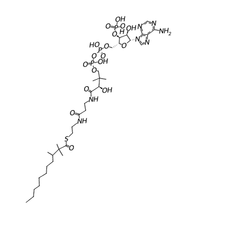 CCCCCCCCC(C)C(C)(C)C(=O)SCCNC(=O)CCNC(=O)[C@H](O)C(C)(C)COP(=O)(O)OP(=O)(O)OC[C@H]1O[C@@H](n2cnc3c(N)ncnc32)[C@H](O)[C@@H]1OP(=O)(O)O